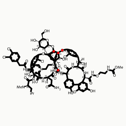 CN[C@H](CC(C)C)C(=O)N[C@H]1C(=O)N[C@@H](CC(N)=O)C(=O)N[C@H]2C(=O)N[C@H]3C(=O)N[C@H](C(=O)N[C@@H](C(=O)NOCCNC(=O)OC)c4cc(O)cc(O)c4-c4cc3ccc4O)[C@H](O)c3ccc(c(Cl)c3)Oc3cc2cc(c3O[C@@H]2O[C@H](CO)[C@@H](O)[C@H](O)[C@H]2O[C@H]2C[C@](C)(NCCn3ccc(NC(=O)Cc4ccc(Cl)c(Cl)c4)nc3=O)[C@H](O)[C@H](C)O2)Oc2ccc(cc2Cl)[C@H]1O